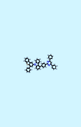 C1=CC(c2cc(-c3ccccc3)nc(-c3ccc(-c4cccc5c4c4ccccc4n5-c4cc(-c5ccccc5)c5sc6ccccc6c5c4)cc3)n2)=CCC1